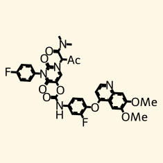 COc1cc2nccc(Oc3ccc(NC(=O)Oc4cn(C(C(C)=O)C(=O)N(C)C)c(=O)n(-c5ccc(F)cc5)c4=O)cc3F)c2cc1OC